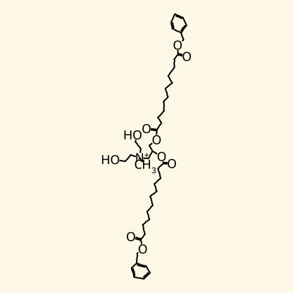 C[N+](CCO)(CCO)CC(COC(=O)CCCCCCCCCCC(=O)OCc1ccccc1)OC(=O)CCCCCCCCCCC(=O)OCc1ccccc1